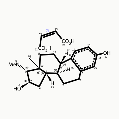 CN[C@H]1[C@H](O)C[C@H]2[C@@H]3CCc4cc(O)ccc4[C@H]3CC[C@@]21C.O=C(O)/C=C\C(=O)O